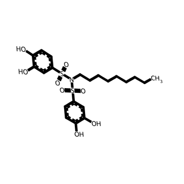 CCCCCCCCCN(S(=O)(=O)c1ccc(O)c(O)c1)S(=O)(=O)c1ccc(O)c(O)c1